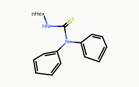 CCCCCCNC(=S)N(c1ccccc1)c1ccccc1